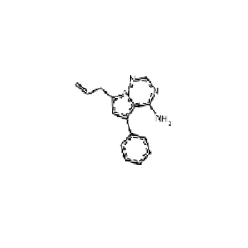 C=CCc1cc(-c2ccccc2)c2c(N)ncnn12